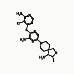 C[C@@H]1OCC2(CCN(c3cnc(Sc4ccnc(N)c4Cl)c(N)n3)CC2)C1N